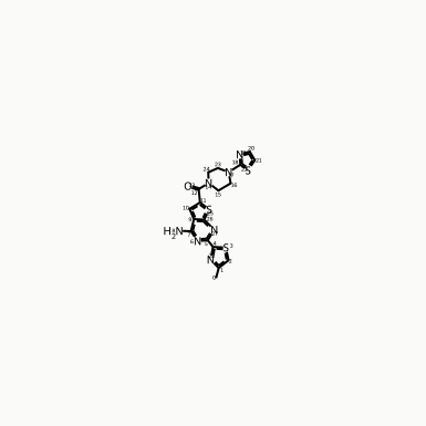 Cc1csc(-c2nc(N)c3cc(C(=O)N4CCN(c5nccs5)CC4)sc3n2)n1